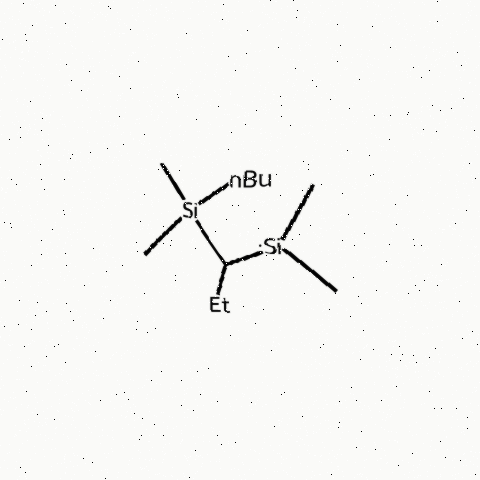 CCCC[Si](C)(C)C(CC)[Si](C)C